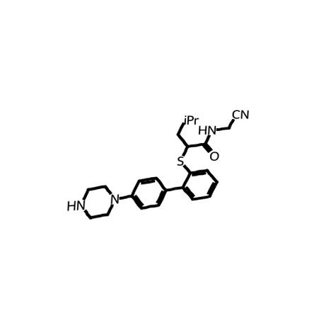 CC(C)CC(Sc1ccccc1-c1ccc(N2CCNCC2)cc1)C(=O)NCC#N